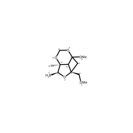 B[C@@H]1O[C@@]2(COC)CC3(OC)OCO[C@H]1C32